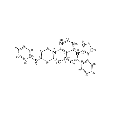 O=[N+]([O-])c1c(N2CCC(Sc3ccccn3)CC2)ncnc1N(Cc1ccccc1)C1=COCO1